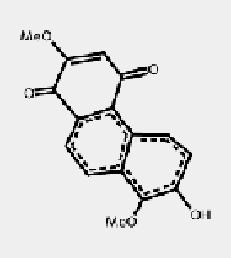 COC1=CC(=O)c2c(ccc3c(OC)c(O)ccc23)C1=O